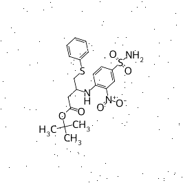 CC(C)(C)OC(=O)CC(CSc1ccccc1)Nc1ccc(S(N)(=O)=O)cc1[N+](=O)[O-]